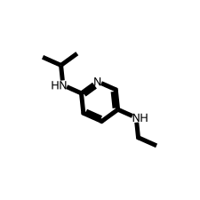 CCNc1ccc(NC(C)C)nc1